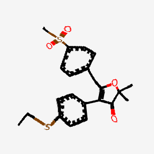 CCSc1ccc(C2=C(c3ccc(S(C)(=O)=O)cc3)OC(C)(C)C2=O)cc1